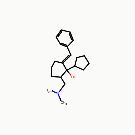 CN(C)CC1CCCC(=Cc2ccccc2)C1(O)C1CCCC1